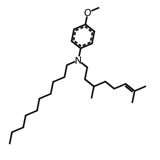 CCCCCCCCCCN(CCC(C)CCC=C(C)C)c1ccc(OC)cc1